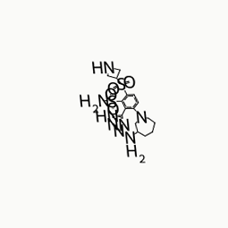 NC1CCCCN(c2ccc(S(=O)(=O)C3CNC3)c(S(N)(=O)=O)c2-c2nnn[nH]2)C1